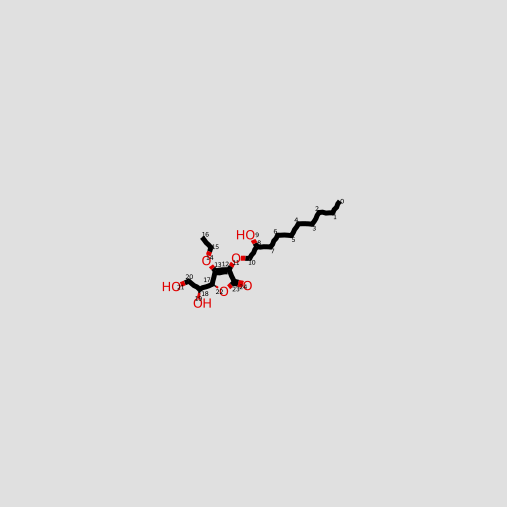 CCCCCCCCC(O)COC1=C(OCC)[C@@H]([C@@H](O)CO)OC1=O